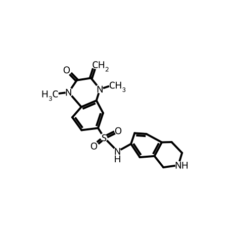 C=C1C(=O)N(C)c2ccc(S(=O)(=O)Nc3ccc4c(c3)CNCC4)cc2N1C